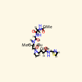 CC[C@H](C)[C@@H]([C@@H](CC(=O)N1CCC[C@H]1[C@H](OC)[C@@H](C)C(=O)NCc1nccs1)OC)N(C)C(=O)CNC(=O)C(C)(C)NC(=O)OC